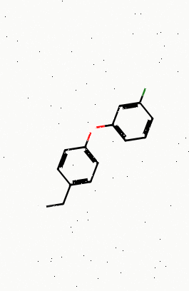 CC(=O)Cc1ccc(Oc2cccc(Cl)c2)cc1